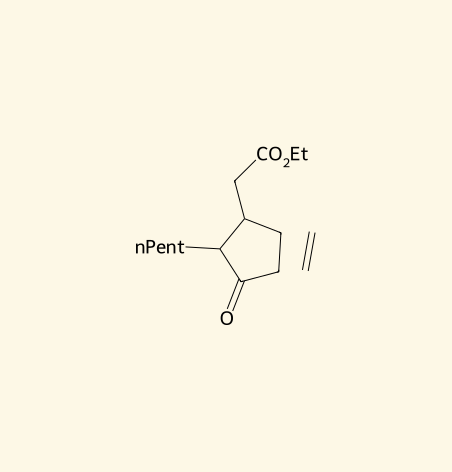 C=C.CCCCCC1C(=O)CCC1CC(=O)OCC